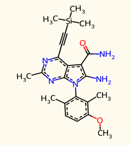 COc1ccc(C)c(-n2c(N)c(C(N)=O)c3c(C#C[Si](C)(C)C)nc(C)nc32)c1C